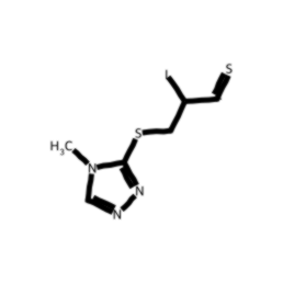 Cn1cnnc1SCC(I)[C]=S